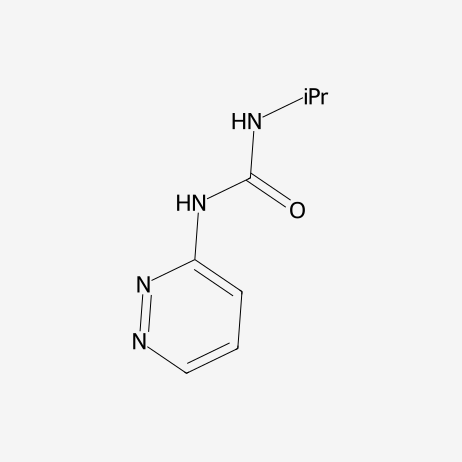 CC(C)NC(=O)Nc1cccnn1